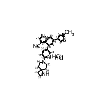 Cl.Cl.Cn1cc(-c2cc(-c3ccc(N4CCC5(CCN5)CC4)nc3)c3c(C#N)cnn3c2)cn1